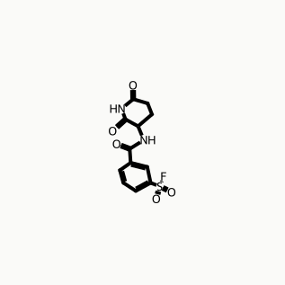 O=C1CCC(NC(=O)c2cccc(S(=O)(=O)F)c2)C(=O)N1